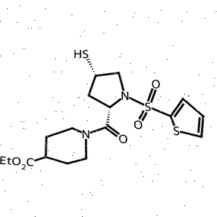 CCOC(=O)C1CCN(C(=O)[C@@H]2C[C@H](S)CN2S(=O)(=O)c2cccs2)CC1